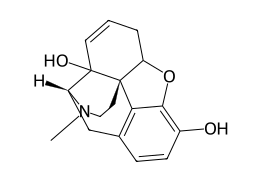 CN1CC[C@]23c4c5ccc(O)c4OC2CC=CC3(O)[C@H]1C5